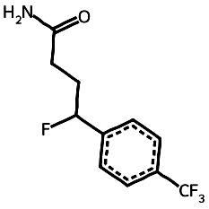 NC(=O)CCC(F)c1ccc(C(F)(F)F)cc1